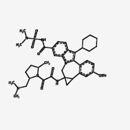 COc1ccc2c(c1)C1CC1(NC(=O)C(=O)N1C(C)CCC1CN(C)C)Cn1c-2c(C2CCCCC2)c2ccc(C(=O)NS(=O)(=O)N(C)C)cc21